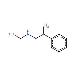 CC(CNCO)c1ccccc1